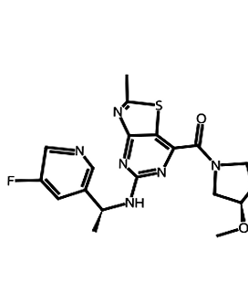 CO[C@@H]1CCN(C(=O)c2nc(N[C@@H](C)c3cncc(F)c3)nc3nc(C)sc23)C1